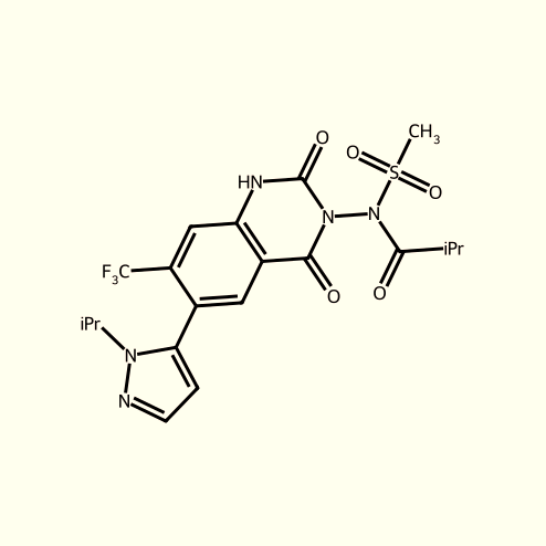 CC(C)C(=O)N(n1c(=O)[nH]c2cc(C(F)(F)F)c(-c3ccnn3C(C)C)cc2c1=O)S(C)(=O)=O